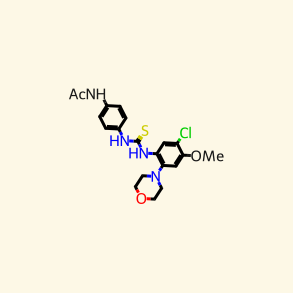 COc1cc(N2CCOCC2)c(NC(=S)Nc2ccc(NC(C)=O)cc2)cc1Cl